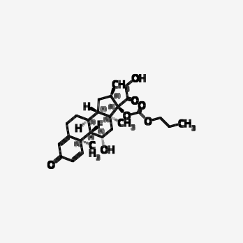 CCCOC(=O)O[C@]1(C(=O)CO)[C@H](C)C[C@H]2[C@@H]3CCC4=CC(=O)C=C[C@]4(C)[C@@]3(F)[C@@H](O)C[C@@]21C